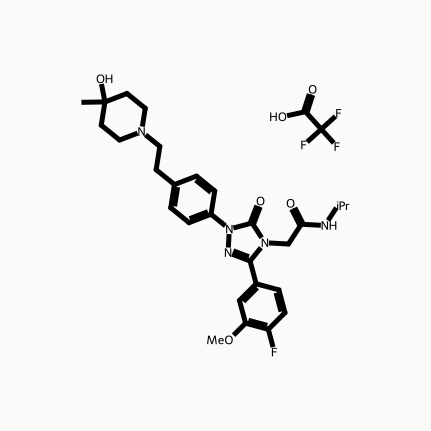 COc1cc(-c2nn(-c3ccc(CCN4CCC(C)(O)CC4)cc3)c(=O)n2CC(=O)NC(C)C)ccc1F.O=C(O)C(F)(F)F